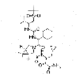 CC(C)[C@@H](CS(=O)(=O)C(C)(C)C)NC(=O)N[C@H](C(=O)N1C[C@H]2[C@@H]([C@H]1C(=O)NC(CC1CC1)C(=O)C(N)=O)C2(C)C)C1CCCCC1